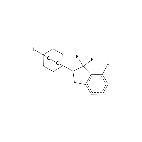 Fc1cccc2c1C(F)(F)C(C13CCC(I)(CC1)CC3)C2